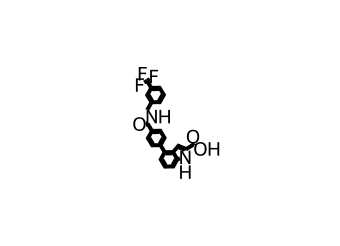 O=C(NCc1cccc(C(F)(F)F)c1)c1ccc(-c2cccc3[nH]c(C(=O)O)cc23)cc1